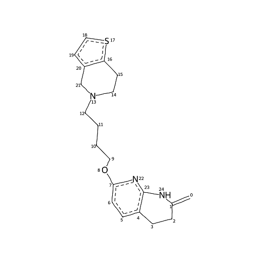 C=C1CCc2ccc(OCCCCN3CCc4sccc4C3)nc2N1